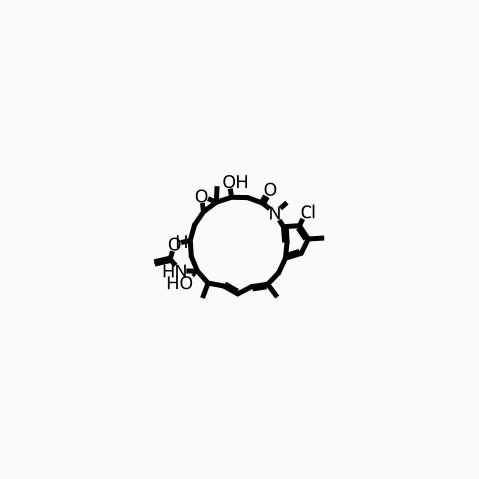 C=C1N[C@]2(O)C[C@@H](CC3OC3(C)C(O)CC(=O)N(C)c3cc(cc(C)c3Cl)C/C(C)=C/C=C/C2C)O1